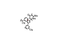 CN1C(=N)N[C@](C)(c2cc(-c3cncc(C#N)c3)cs2)[C@H](c2ccc(C3(C#N)CC3)cc2)C1=O